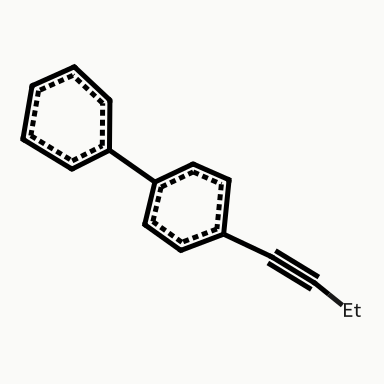 CCC#Cc1ccc(-c2ccccc2)cc1